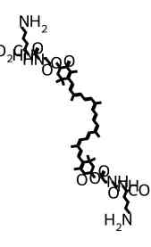 CC(C=CC=C(C)C=CC1=C(C)C(=O)C(OC(=O)CNC(=O)NC(CCCCN)C(=O)O)CC1(C)C)=CC=CC=C(C)C=CC=C(C)C=CC1=C(C)C(=O)C(OC(=O)CNC(=O)NC(CCCCN)C(=O)O)CC1(C)C